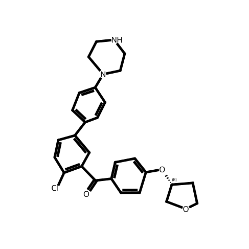 O=C(c1ccc(O[C@@H]2CCOC2)cc1)c1cc(-c2ccc(N3CCNCC3)cc2)ccc1Cl